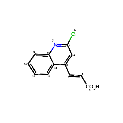 O=C(O)/C=C/c1cc(Cl)nc2ccccc12